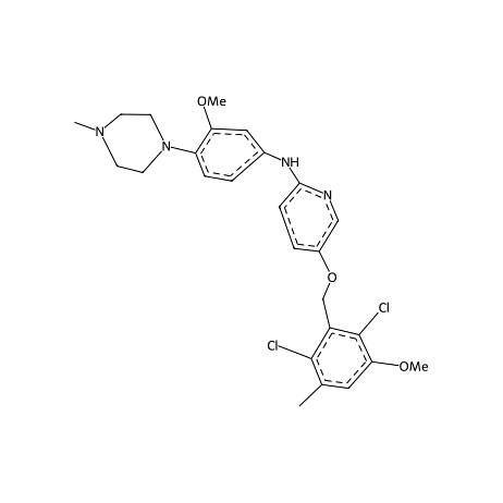 COc1cc(Nc2ccc(OCc3c(Cl)c(C)cc(OC)c3Cl)cn2)ccc1N1CCN(C)CC1